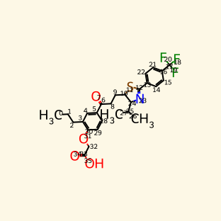 CCCc1cc(C(=O)CCC2SC(c3ccc(C(F)(F)F)cc3)=NC2C(C)C)ccc1OCC(=O)O